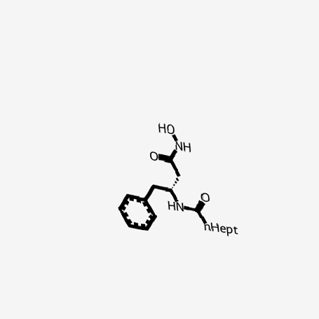 CCCCCCCC(=O)N[C@@H](CC(=O)NO)Cc1ccccc1